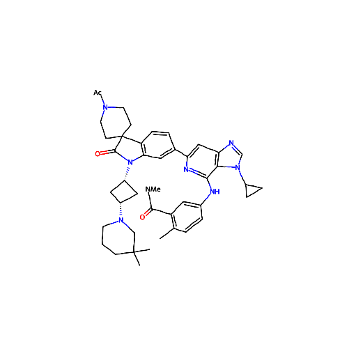 CNC(=O)c1cc(Nc2nc(-c3ccc4c(c3)N([C@H]3C[C@@H](N5CCCC(C)(C)C5)C3)C(=O)C43CCN(C(C)=O)CC3)cc3ncn(C4CC4)c23)ccc1C